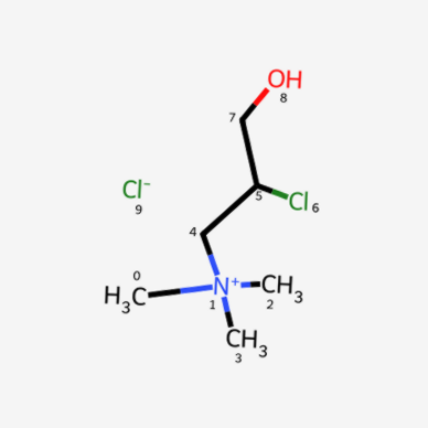 C[N+](C)(C)CC(Cl)CO.[Cl-]